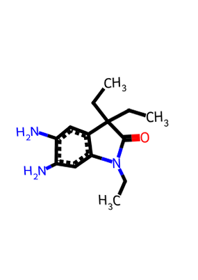 CCN1C(=O)C(CC)(CC)c2cc(N)c(N)cc21